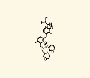 Cc1ccc(Cc2ccn3c(C(F)F)nnc3c2C)cc1CN1CC2COCCN2c2ncccc2[S+]1[O-]